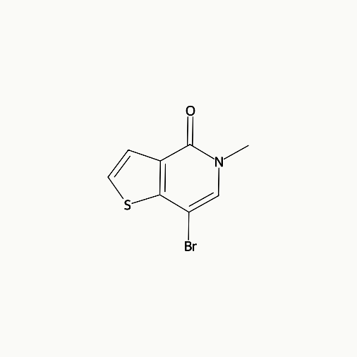 Cn1cc(Br)c2sccc2c1=O